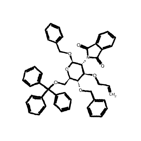 C=CCO[C@H]1[C@H](OCc2ccccc2)[C@@H](COC(c2ccccc2)(c2ccccc2)c2ccccc2)O[C@@H](OCc2ccccc2)[C@@H]1N1C(=O)c2ccccc2C1=O